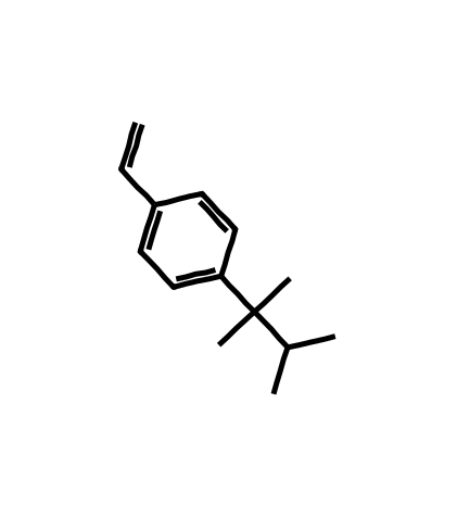 C=Cc1ccc(C(C)(C)[C](C)C)cc1